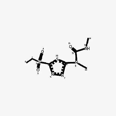 CCS(=O)(=O)c1nnc(N(C)C(=O)NC)s1